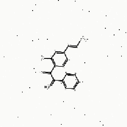 C=C(C(=O)c1ccc(/C=C/C(=O)O)cc1C)c1ccccc1